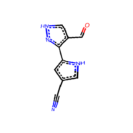 N#Cc1c[nH]c(-c2n[nH]cc2C=O)c1